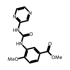 COC(=O)c1ccc(OC)c(NC(=O)Nc2cnccn2)c1